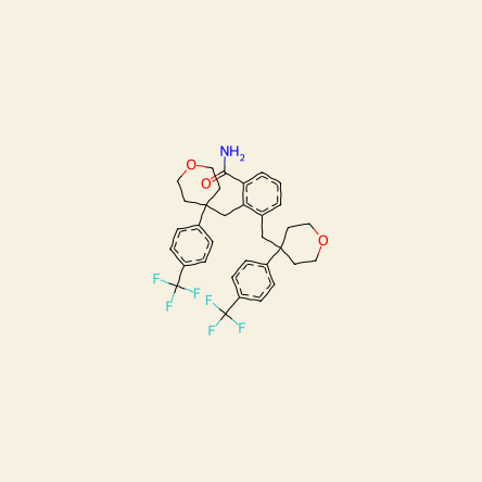 NC(=O)c1cccc(CC2(c3ccc(C(F)(F)F)cc3)CCOCC2)c1CC1(c2ccc(C(F)(F)F)cc2)CCOCC1